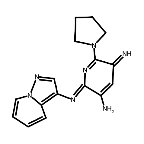 N=C1C=C(N)/C(=N/c2cnn3ccccc23)N=C1N1CCCC1